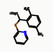 CCCCCCCC(Sc1ccccn1)c1cc(C)ccc1C